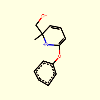 CC1(CO)C=CC=C(Oc2ccccc2)N1